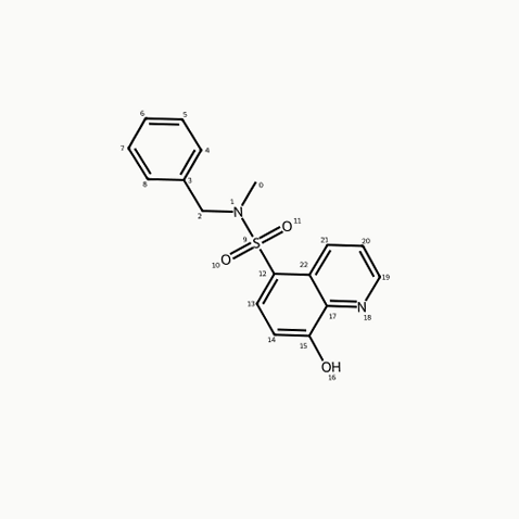 CN(Cc1ccccc1)S(=O)(=O)c1ccc(O)c2ncccc12